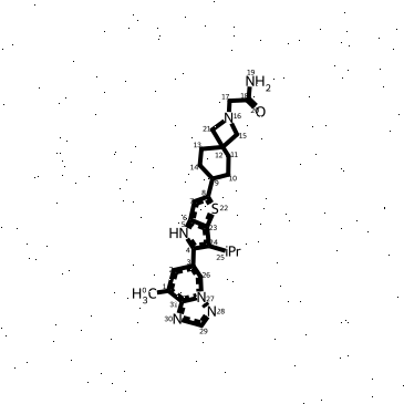 Cc1cc(-c2[nH]c3cc(C4CCC5(CC4)CN(CC(N)=O)C5)sc3c2C(C)C)cn2ncnc12